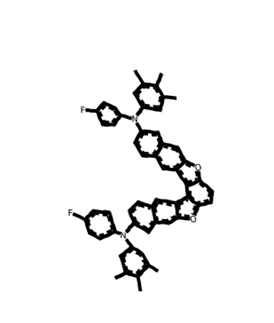 Cc1cc(N(c2ccc(F)cc2)c2ccc3cc4c(cc3c2)oc2ccc3oc5cc6cc(N(c7ccc(F)cc7)c7cc(C)c(C)c(C)c7)ccc6cc5c3c24)cc(C)c1C